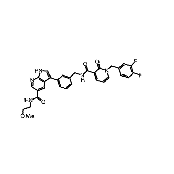 COCCNC(=O)c1cnc2[nH]cc(-c3cccc(CNC(=O)c4cccn(Cc5ccc(F)c(F)c5)c4=O)c3)c2c1